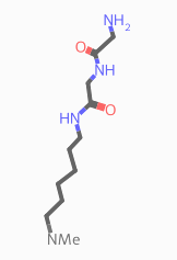 CNCCCCCCNC(=O)CNC(=O)CN